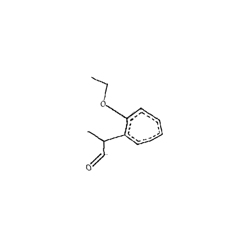 CCOc1ccccc1C(C)[C]=O